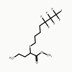 CCCC(SCCCCC(F)(F)C(F)(F)C(F)(F)F)C(=O)OC